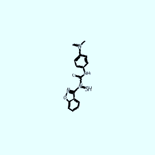 CN(C)c1ccc(NC(=O)N(S)c2noc3ccccc23)cc1